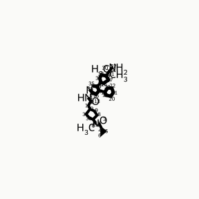 CN(C(=O)C1CC1)C1CCC(CC(=O)Nc2cc(-c3ccccc3)c(-c3ccc(C(C)(C)N)cc3)cn2)CC1